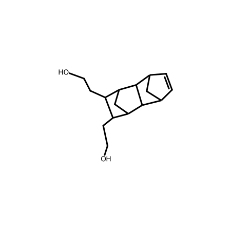 OCCC1C(CCO)C2CC1C1C3C=CC(C3)C21